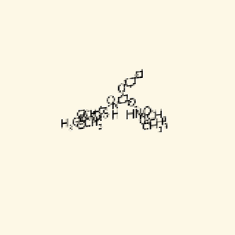 CC(C)(C)OC(=O)NCCOc1cc(NC(=O)c2cc3cc(C(C)(C)S(C)(=O)=O)ccc3s2)cc(Oc2ccc(Cl)cc2)c1